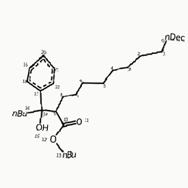 CCCCCCCCCCCCCCCCCCC(C(=O)OCCCC)C(O)(CCCC)c1ccccc1